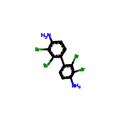 Nc1ccc(-c2ccc(N)c(Br)c2Br)c(Br)c1Br